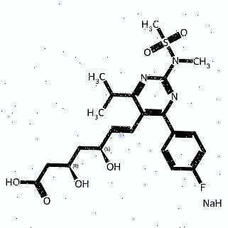 CC(C)c1nc(N(C)S(C)(=O)=O)nc(-c2ccc(F)cc2)c1/C=C/[C@@H](O)C[C@@H](O)CC(=O)O.[NaH]